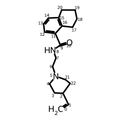 C=CC1CCN(CCNC(=O)c2cccc3c2CCCC3)CC1